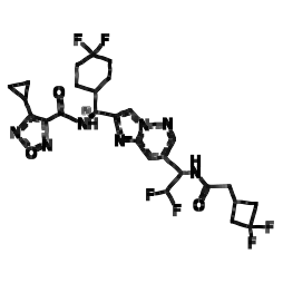 O=C(CC1CC(F)(F)C1)NC(c1cnn2cc([C@@H](NC(=O)c3nonc3C3CC3)C3CCC(F)(F)CC3)nc2c1)C(F)F